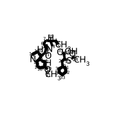 C=C[C@@H]1CN2CCC1C[C@@H]2C(O)c1ccnc2ccc(OC)cc12.CC(=O)SC(Cc1ccccc1)C(=O)O